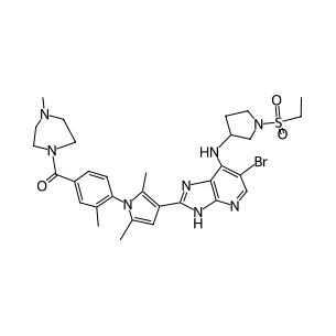 CCS(=O)(=O)N1CCC(Nc2c(Br)cnc3[nH]c(-c4cc(C)n(-c5ccc(C(=O)N6CCN(C)CC6)cc5C)c4C)nc23)C1